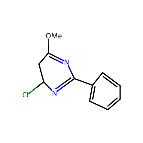 COC1=NC(c2ccccc2)=NC(Cl)C1